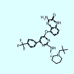 CC(C)(C)CN1CCCC[C@@H]1CNc1nc(Oc2cccc3[nH]c(=O)c(N)nc23)cc(-c2ccc(C(F)(F)F)cc2)n1